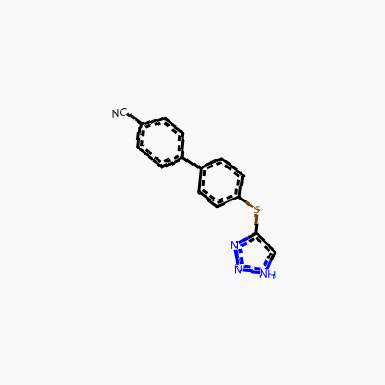 N#Cc1ccc(-c2ccc(Sc3c[nH]nn3)cc2)cc1